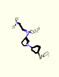 CCN(CC)CCN(C(=O)O)[C@@H]1CCN(c2ccc([N+](=O)[O-])cc2)C1